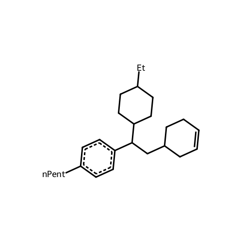 CCCCCc1ccc(C(CC2CC=CCC2)C2CCC(CC)CC2)cc1